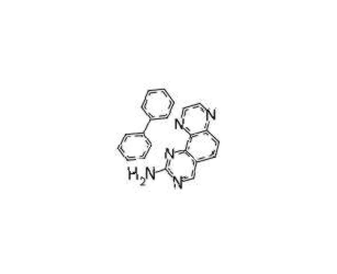 Nc1ncc2ccc3nccnc3c2n1.c1ccc(-c2ccccc2)cc1